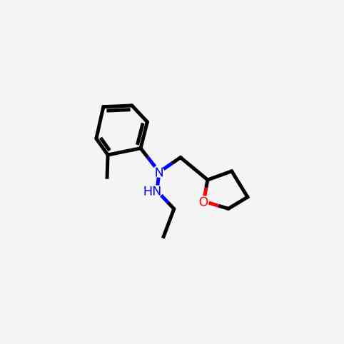 CCNN(CC1CCCO1)c1ccccc1C